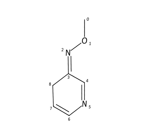 CON=C1C=NC=CC1